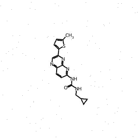 Cc1ccc(-c2cnc3ccc(NC(=O)NCC4CC4)nc3n2)s1